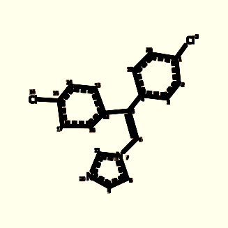 Clc1ccc(C(=Cn2ccnc2)c2ccc(Cl)cc2)cc1